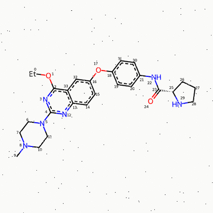 CCOc1nc(N2CCN(C)CC2)nc2ccc(Oc3ccc(NC(=O)[C@@H]4CCCN4)cc3)cc12